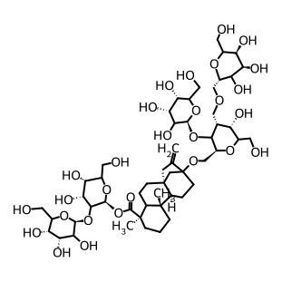 C=C1C[C@@]23CCC4[C@](C)(C(=O)O[C@@H]5OC(CO)[C@@H](O)[C@@H](O)C5O[C@@H]5OC(CO)[C@@H](O)[C@@H](O)C5O)CCC[C@@]4(C)[C@@H]2CCC1(OC[C@@H]1OC(CO)[C@@H](O)[C@@H](COC[C@@H]2OC(CO)[C@@H](O)[C@@H](O)C2O)C1O[C@@H]1OC(CO)[C@@H](O)[C@@H](O)C1O)C3